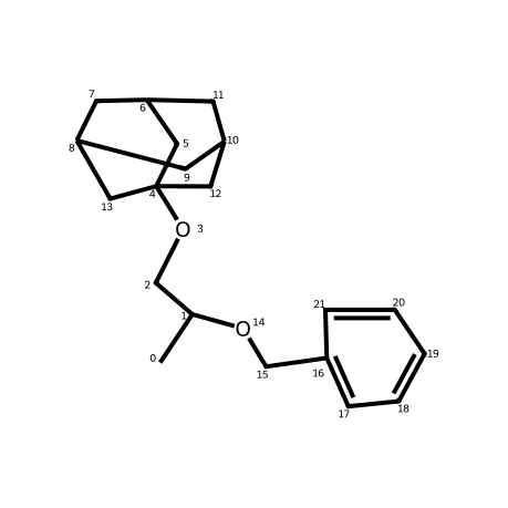 CC(COC12CC3CC(CC(C3)C1)C2)OCc1ccccc1